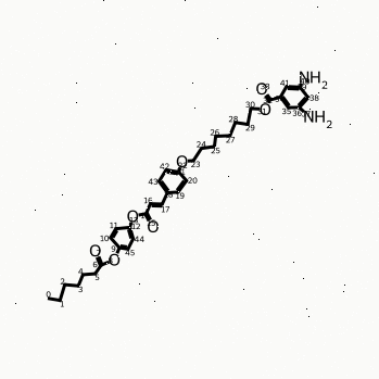 CCCCCCC(=O)Oc1ccc(OC(=O)C=Cc2ccc(OCCCCCCCCOC(=O)c3cc(N)cc(N)c3)cc2)cc1